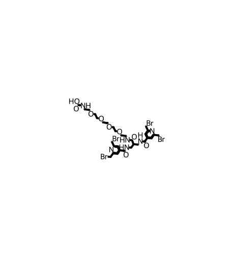 O=C(O)NCCOCCOCCOCCOCCNC(=O)C(CNC(=O)c1cc(CBr)nc(CBr)c1)CNC(=O)c1cc(CBr)nc(CBr)c1